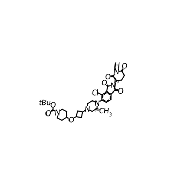 C[C@@H]1CN(C2CC(OC3CCN(C(=O)OC(C)(C)C)CC3)C2)CCN1c1ccc2c(c1Cl)C(=O)N([C@@H]1CCC(=O)NC1=O)C2=O